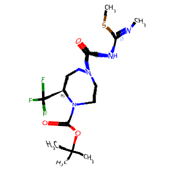 C/N=C(/NC(=O)N1CCN(C(=O)OC(C)(C)C)[C@@H](C(F)(F)F)C1)SC